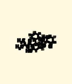 CC(C)OC(=O)C1=C(O)CC2=C(C(=O)OC2)C1c1ccccc1SCc1cccc(Cl)c1